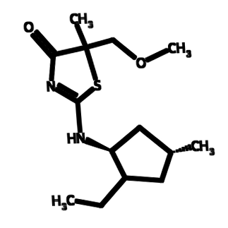 CCC1C[C@@H](C)C[C@@H]1NC1=NC(=O)C(C)(COC)S1